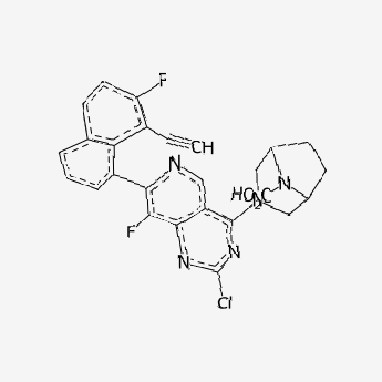 C#Cc1c(F)ccc2cccc(-c3ncc4c(N5CC6CCC(C5)N6C(=O)O)nc(Cl)nc4c3F)c12